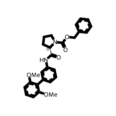 COc1cccc(OC)c1-c1cccc(NC(=O)[C@@H]2CCCN2C(=O)OCc2ccccc2)c1